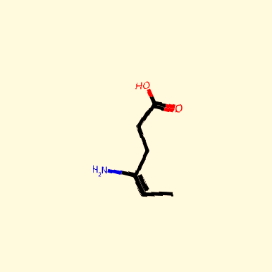 C/C=C(/N)CCC(=O)O